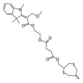 C=C1CSCC(COC(=O)CCC(=O)OCCOC(=O)/C(COC)=C2/N(C)c3ccccc3C2(C)C)SC1